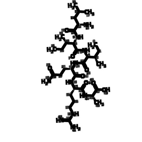 CC[C@H](C)[C@H](NC(=O)[C@@H](NC(=O)[C@@H](N)CC(C)C)[C@@H](C)CC)C(=O)N[C@@H](CCC(N)=O)C(=O)N[C@@H](CCCNC(=N)N)C(=O)N[C@@H](C)C(=O)O